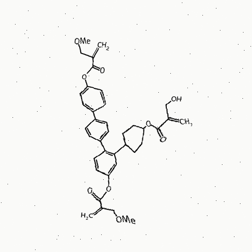 C=C(COC)C(=O)Oc1ccc(-c2ccc(-c3ccc(OC(=O)C(=C)COC)cc3C3CCC(OC(=O)C(=C)CO)CC3)cc2)cc1